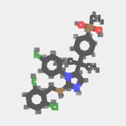 CC(C)(c1ccc(S(C)(=O)=O)cc1)c1cnc(SCc2c(F)cccc2Cl)n1-c1ccc(F)cc1